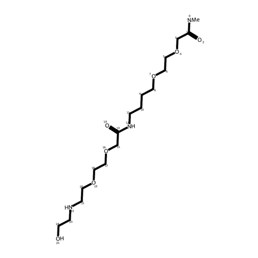 CNC(=O)COCCOCCCCNC(=O)COCCOCCNCCO